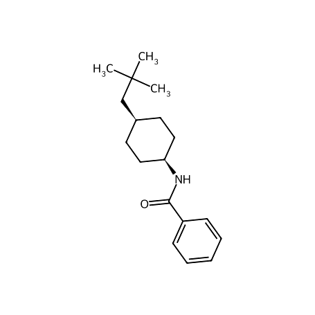 CC(C)(C)C[C@H]1CC[C@@H](NC(=O)c2ccccc2)CC1